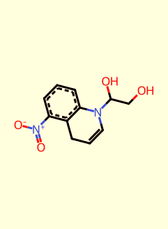 O=[N+]([O-])c1cccc2c1CC=CN2C(O)CO